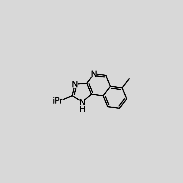 Cc1cccc2c1cnc1nc(C(C)C)[nH]c12